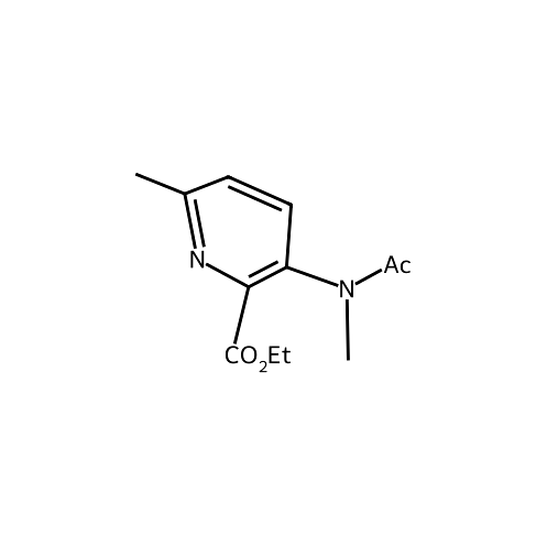 CCOC(=O)c1nc(C)ccc1N(C)C(C)=O